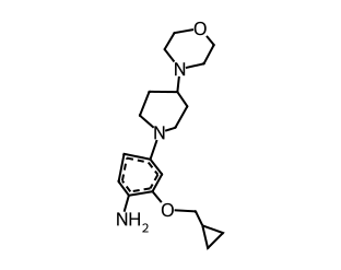 Nc1ccc(N2CCC(N3CCOCC3)CC2)cc1OCC1CC1